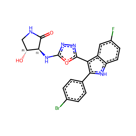 O=C1NC[C@@H](O)[C@@H]1Nc1nnc(-c2c(-c3ccc(Br)cc3)[nH]c3ccc(F)cc23)o1